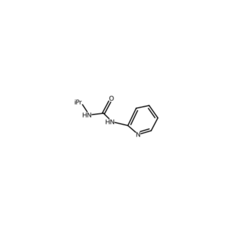 CC(C)NC(=O)Nc1ccccn1